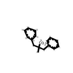 CC(Cc1ccccc1)(Cc1ccccc1)C(=O)O